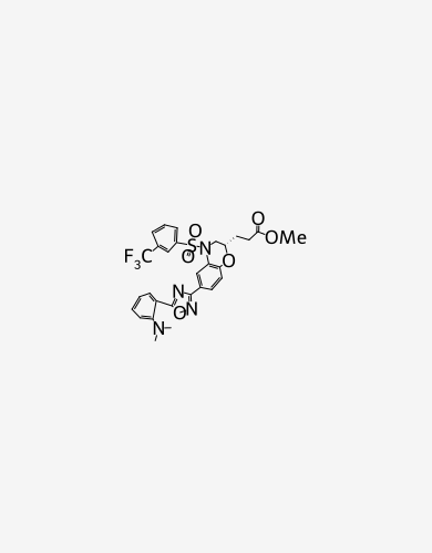 COC(=O)CC[C@H]1CN(S(=O)(=O)c2cccc(C(F)(F)F)c2)c2cc(-c3noc(-c4ccccc4N(C)C)n3)ccc2O1